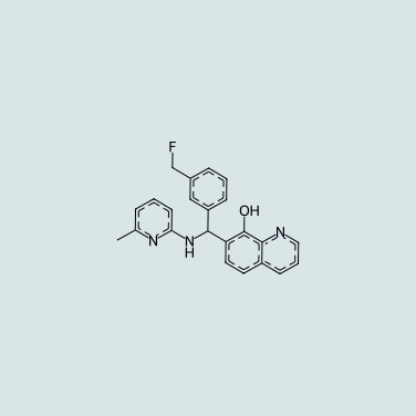 Cc1cccc(NC(c2cccc(CF)c2)c2ccc3cccnc3c2O)n1